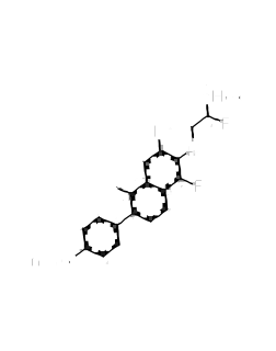 CCCCCCc1ccc(-c2ccc3c(F)c(OCC(F)CCCCCC)c(F)cc3c2F)cc1